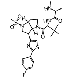 CN[C@@H](C)C(=O)N[C@H](C(=O)N1CC[C@@H]2[C@H]1[C@@H](c1csc(-c3ccc(F)cc3)n1)CN2S(C)(=O)=O)C(C)(C)C